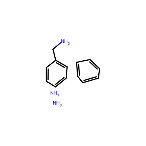 N.N.NCc1ccccc1.c1ccccc1